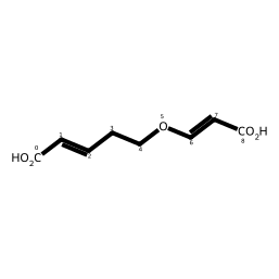 O=C(O)C=CCCOC=CC(=O)O